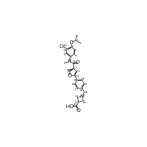 CC(C)Oc1ccc(N(C)C(=O)c2cc(-c3ccc(CN4CC(C(=O)O)C4)cc3)on2)cc1Cl